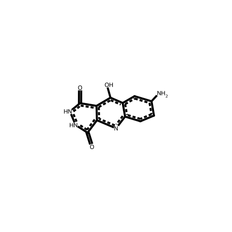 Nc1ccc2nc3c(=O)[nH][nH]c(=O)c3c(O)c2c1